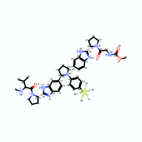 CNC(C(=O)N1CCC[C@H]1c1nc2ccc([C@H]3CC[C@H](c4ccc5nc([C@@H]6CCCN6C(=O)CNC(=O)OC)[nH]c5c4)N3c3ccc(S(F)(F)(F)(F)F)cc3)cc2[nH]1)C(C)C